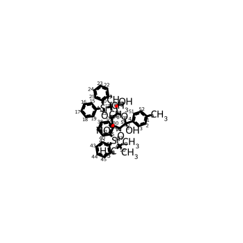 Cc1ccc([C@@]2(O)O[C@H](CO)[C@@H](O[Si](c3ccccc3)(c3ccccc3)C(C)(C)C)[C@H](O)[C@H]2O[Si](c2ccccc2)(c2ccccc2)C(C)(C)C)cc1